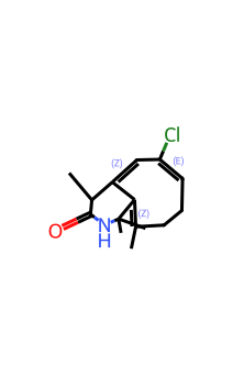 C\C1=C2/C(=C\C(Cl)=C/CC1)C(C)C(=O)NC2(C)C